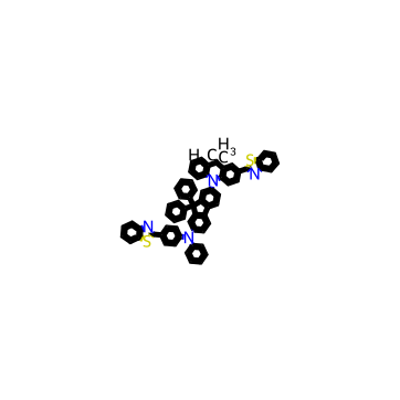 CC1(C)c2ccccc2N(c2ccc3c(c2)C(c2ccccc2)(c2ccccc2)c2cc(N(c4ccccc4)c4ccc(-c5nc6ccccc6s5)cc4)ccc2-3)c2ccc(-c3nc4ccccc4s3)cc21